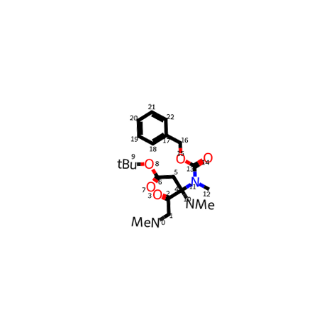 CNCC(=O)C(CC(=O)OC(C)(C)C)(NC)N(C)C(=O)OCc1ccccc1